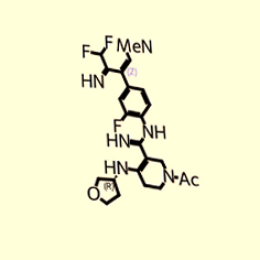 CN/C=C(\C(=N)C(F)F)c1ccc(NC(=N)C2=C(N[C@@H]3CCOC3)CCN(C(C)=O)C2)c(F)c1